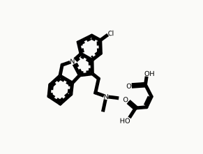 CN(C)CCc1c2n(c3ccc(Cl)cc13)Cc1ccccc1-2.O=C(O)/C=C\C(=O)O